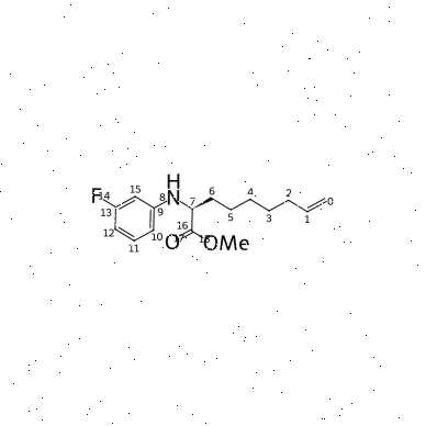 C=CCCCCC[C@H](Nc1cccc(F)c1)C(=O)OC